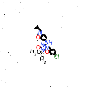 CC(C)n1c(=O)nc(Nc2ccc3c(c2)OCN3CC2CC2)n(Cc2ccc(Cl)cc2)c1=O